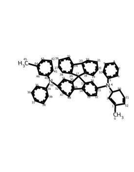 CC1=CC(N(c2ccccc2)c2ccc3c(c2)C2(c4ccccc4-c4ccccc42)c2cc(N(c4ccccc4)c4cccc(C)c4)ccc2-3)CC=C1